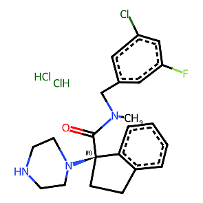 CN(Cc1cc(F)cc(Cl)c1)C(=O)[C@@]1(N2CCNCC2)CCc2ccccc21.Cl.Cl